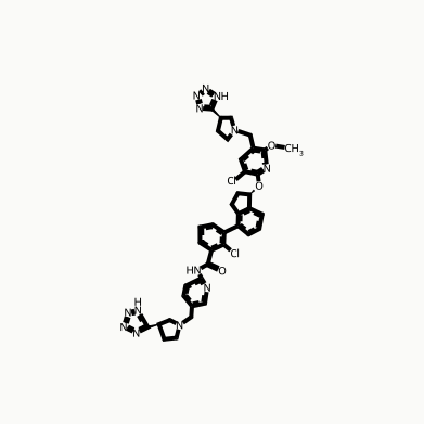 COc1nc(O[C@H]2CCc3c(-c4cccc(C(=O)Nc5ccc(CN6CC[C@@H](c7nnn[nH]7)C6)cn5)c4Cl)cccc32)c(Cl)cc1CN1CC[C@@H](c2nnn[nH]2)C1